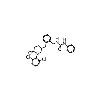 O=C(NCc1ccccc1CC1CCC(=O)N(c2c(Cl)cccc2Cl)C1)Nc1ccccc1